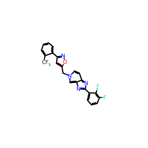 Fc1cccc(-c2nc3ccn(Cc4cc(-c5ccccc5C(F)(F)F)no4)cc-3n2)c1F